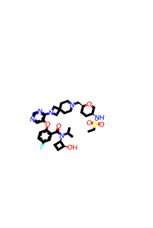 CCS(=O)(=O)N[C@@H]1CC[C@@H](CN2CCC3(CC2)CN(c2ncncc2Oc2ccc(F)cc2C(=O)N(C(C)C)[C@@H]2CC[C@@H]2O)C3)OC1